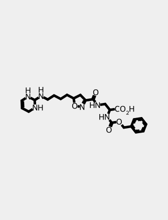 O=C(NC(CNC(=O)C1=NOC(CCCCNC2NC=CCN2)C1)C(=O)O)OCc1ccccc1